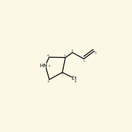 C=CCC1CNCC1CC